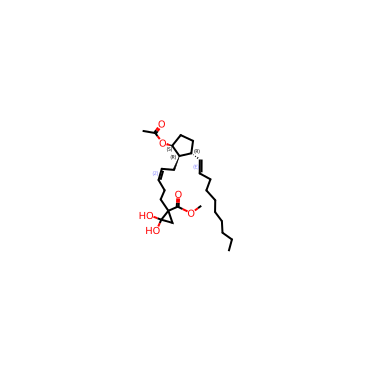 CCCCCCCC/C=C/[C@H]1CC[C@H](OC(C)=O)[C@@H]1C/C=C\CCC1(C(=O)OC)CC1(O)O